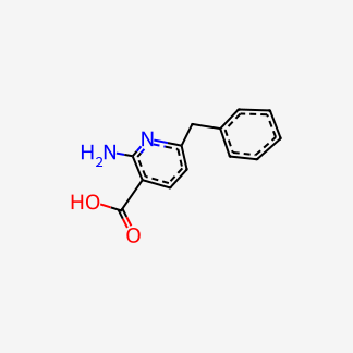 Nc1nc(Cc2ccccc2)ccc1C(=O)O